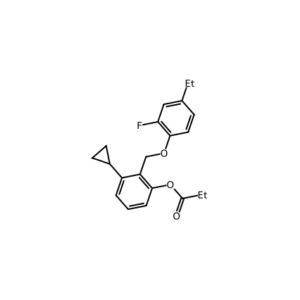 CCC(=O)Oc1cccc(C2CC2)c1COc1ccc(CC)cc1F